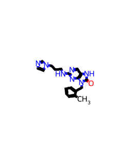 Cc1ccccc1Cn1c(=O)[nH]c2cnc(NCCCn3ccnc3)nc21